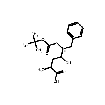 CC(CC(O)[C@H](Cc1ccccc1)NC(=O)OC(C)(C)C)C(=O)O